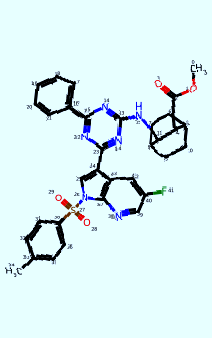 COC(=O)C1C2CCC(CC2)C1Nc1nc(-c2ccccc2)nc(-c2cn(S(=O)(=O)c3ccc(C)cc3)c3ncc(F)cc23)n1